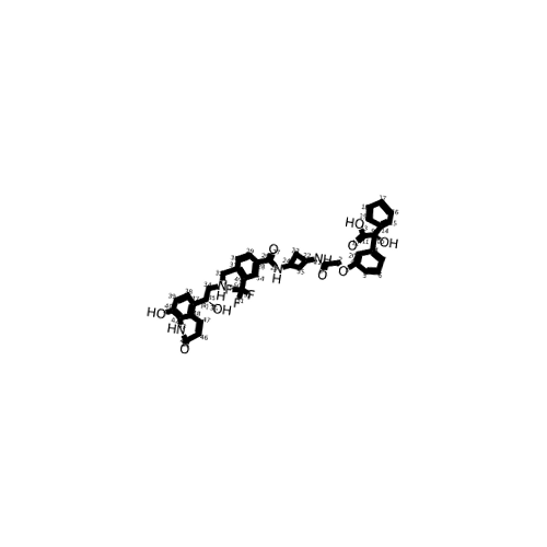 O=C(COc1cccc([C@](O)(C(=O)O)c2ccccc2)c1)NC1CC(NC(=O)c2ccc(CNC[C@H](O)c3ccc(O)c4[nH]c(=O)ccc34)c(C(F)(F)F)c2)C1